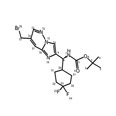 CC(C)(C)OC(=O)N[C@H](c1cn2ncc(CBr)cc2n1)C1CCC(F)(F)CC1